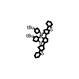 CC(C)(C)c1ccc(N2B3c4cc(C(C)(C)C)ccc4-n4c5cc6c(cc5c5ccc(c3c54)-c3cc4sc5ccccc5c4cc32)sc2ccccc26)cc1